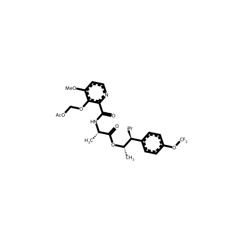 COc1ccnc(C(=O)N[C@@H](C)C(=O)O[C@@H](C)[C@H](c2ccc(OC(F)(F)F)cc2)C(C)C)c1OCOC(C)=O